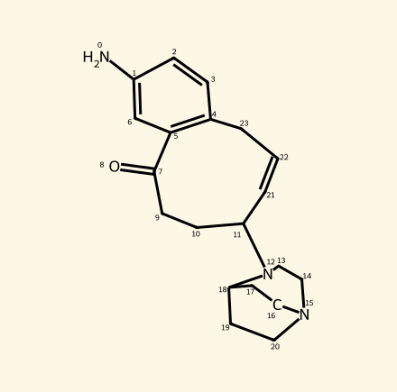 Nc1ccc2c(c1)C(=O)CCC(N1CCN3CCC1CC3)/C=C\C2